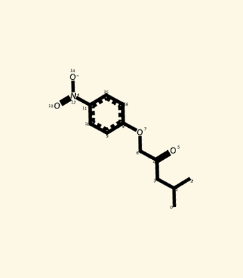 CC(C)CC(=O)COc1ccc([N+](=O)[O-])cc1